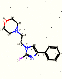 Ic1nc(-c2ccccc2)cn1CCN1CCOCC1